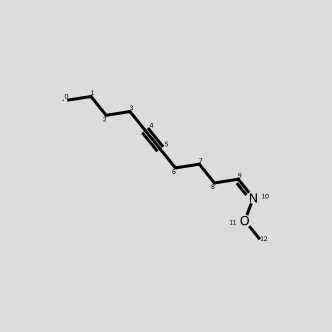 [CH2]CCCC#CCCC/C=N\OC